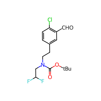 CC(C)(C)OC(=O)N(CCc1ccc(Cl)c(C=O)c1)CC(F)F